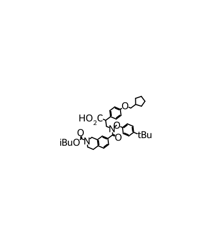 CC(C)COC(=O)N1CCc2ccc(C(=O)N(CC(C(=O)O)c3ccc(OCC4CCCC4)cc3)Oc3ccc(C(C)(C)C)cc3)cc2C1